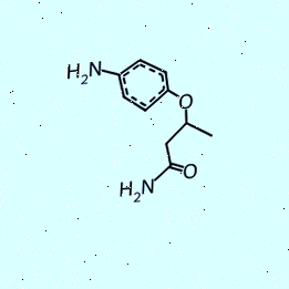 CC(CC(N)=O)Oc1ccc(N)cc1